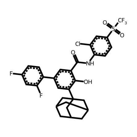 O=C(Nc1ccc(S(=O)(=O)C(F)(F)F)cc1Cl)c1cc(-c2ccc(F)cc2F)cc(C23CC4CC(CC(C4)C2)C3)c1O